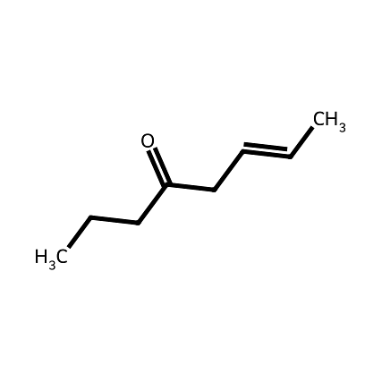 CC=CCC(=O)CCC